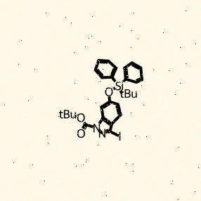 CC(C)(C)OC(=O)n1nc(I)c2ccc(O[Si](c3ccccc3)(c3ccccc3)C(C)(C)C)cc21